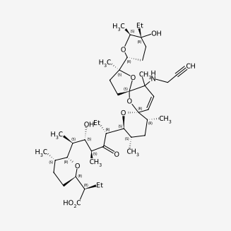 C#CCNC1(C)C=C[C@]2(O[C@H]([C@@H](CC)C(=O)[C@@H](C)[C@@H](O)[C@H](C)[C@@H]3O[C@@H]([C@@H](CC)C(=O)O)CC[C@@H]3C)[C@@H](C)C[C@H]2C)O[C@@]12CC[C@@](C)([C@H]1CC[C@](O)(CC)[C@H](C)O1)O2